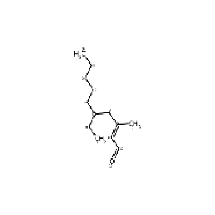 CCCCCC(CC)CC(C)=C[C]=O